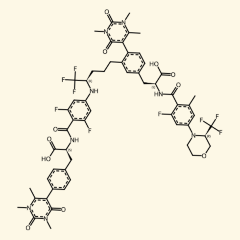 Cc1cc(N2CCOC[C@@H]2C(F)(F)F)cc(F)c1C(=O)N[C@@H](Cc1ccc(-c2c(C)n(C)c(=O)n(C)c2=O)c(CCC[C@@H](Nc2cc(F)c(C(=O)N[C@@H](Cc3ccc(-c4c(C)n(C)c(=O)n(C)c4=O)cc3)C(=O)O)c(F)c2)C(F)(F)F)c1)C(=O)O